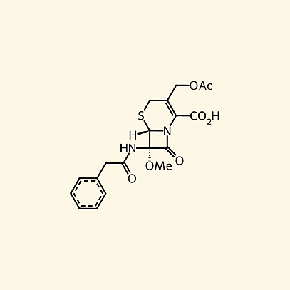 CO[C@@]1(NC(=O)Cc2ccccc2)C(=O)N2C(C(=O)O)=C(COC(C)=O)CS[C@H]21